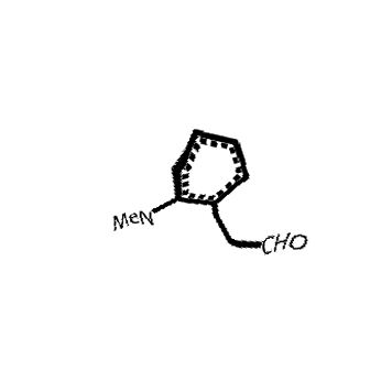 CNc1ccccc1CC=O